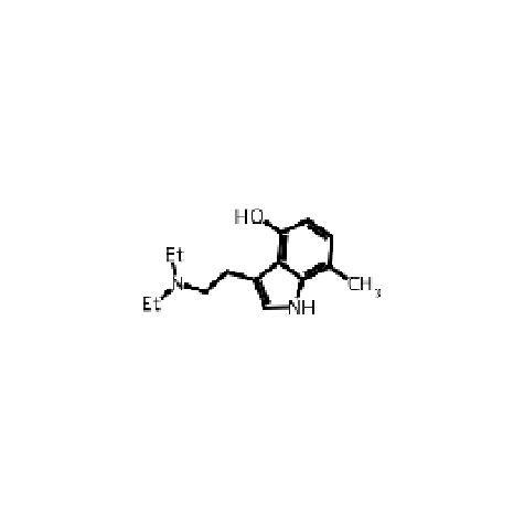 CCN(CC)CCc1c[nH]c2c(C)ccc(O)c12